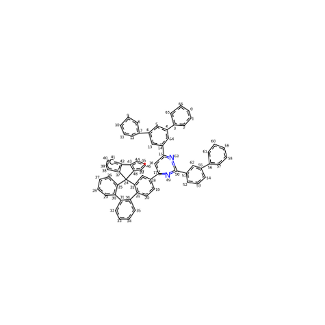 c1ccc(-c2cc(-c3ccccc3)cc(-c3cc(-c4ccc5c(c4)C4(c6ccccc6-c6ccccc6-5)c5ccccc5-c5ccccc54)nc(-c4cccc(-c5ccccc5)c4)n3)c2)cc1